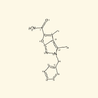 Cc1c(C(N)=O)oc2nn(Cc3ccccc3)c(C)c12